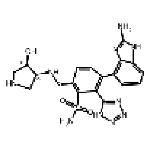 Nc1nc2c(-c3ccc(SN[C@H]4CNC[C@H]4O)c(S(N)(=O)=O)c3-c3nnn[nH]3)cccc2[nH]1